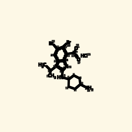 CC(C)n1c(NC2CCC(N)CC2)nc2c([N+](=O)[O-])c(Br)c(Br)cc21.Cl